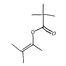 CC(C)=C(C)OC(=O)C(C)(C)C